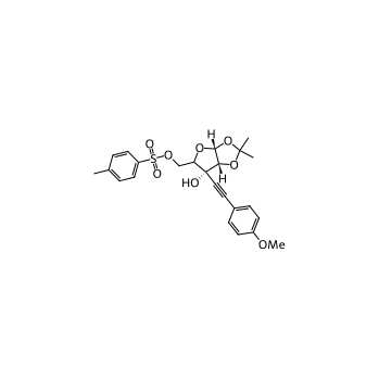 COc1ccc(C#C[C@@]2(O)C(COS(=O)(=O)c3ccc(C)cc3)O[C@@H]3OC(C)(C)O[C@@H]32)cc1